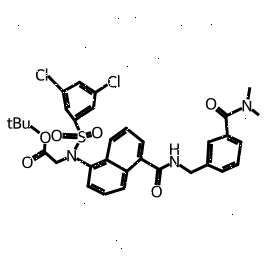 CN(C)C(=O)c1cccc(CNC(=O)c2cccc3c(N(CC(=O)OC(C)(C)C)S(=O)(=O)c4cc(Cl)cc(Cl)c4)cccc23)c1